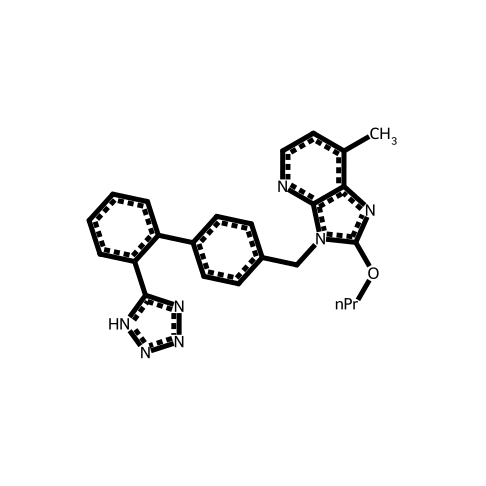 CCCOc1nc2c(C)ccnc2n1Cc1ccc(-c2ccccc2-c2nnn[nH]2)cc1